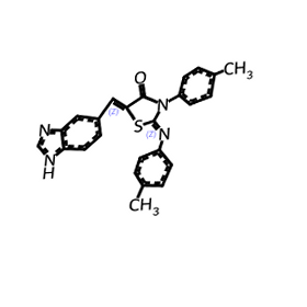 Cc1ccc(/N=C2\S/C(=C\c3ccc4[nH]cnc4c3)C(=O)N2c2ccc(C)cc2)cc1